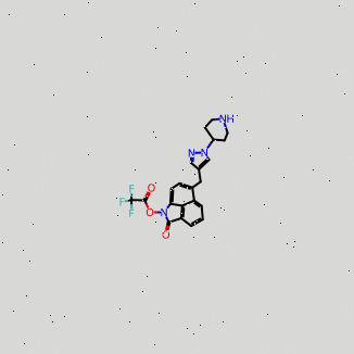 O=C1c2cccc3c(Cc4cnn(C5CCNCC5)c4)ccc(c23)N1OC(=O)C(F)(F)F